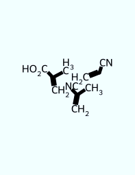 C=C(C)C#N.C=C(C)C(=O)O.C=CC#N